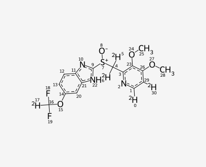 [2H]c1nc(C([2H])([2H])[S+]([O-])c2nc3ccc(OC([2H])(F)F)cc3[nH]2)c(OC)c(OC)c1[2H]